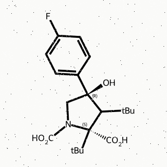 CC(C)(C)C1[C@@](O)(c2ccc(F)cc2)CN(C(=O)O)[C@]1(C(=O)O)C(C)(C)C